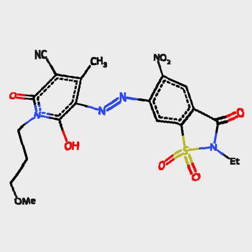 CCN1C(=O)c2cc([N+](=O)[O-])c(/N=N/c3c(C)c(C#N)c(=O)n(CCCOC)c3O)cc2S1(=O)=O